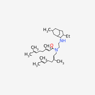 CCC1CC2CC(C)CC(C2)C1NCCN(C/C=C(\C)CCC=C(C)C)C(=O)/C=C(\C)CCC=C(C)C